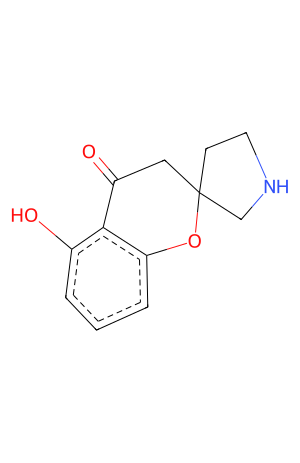 O=C1CC2(CCNC2)Oc2cccc(O)c21